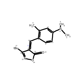 Cc1cc(N(C)C)ccc1/C=C1\C(=O)ON=C1C(C)(C)C